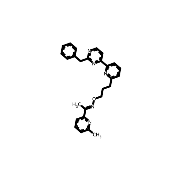 C/C(=N\OCCCc1cccc(-c2ccnc(Cc3ccccc3)n2)n1)c1cccc(C)n1